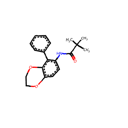 CC(C)(C)C(=O)Nc1ccc2c(c1-c1ccccc1)OCCO2